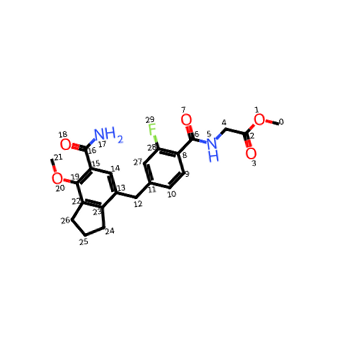 COC(=O)CNC(=O)c1ccc(Cc2cc(C(N)=O)c(OC)c3c2CCC3)cc1F